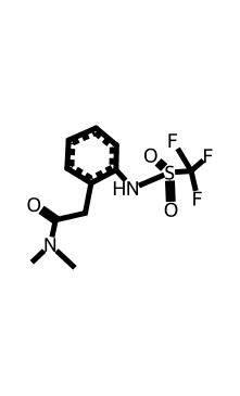 CN(C)C(=O)Cc1ccccc1NS(=O)(=O)C(F)(F)F